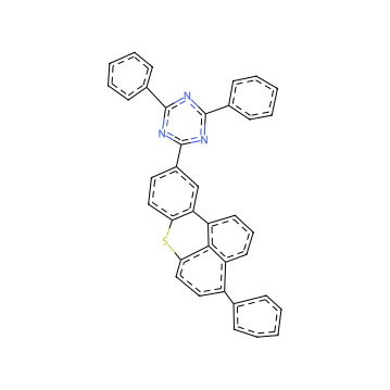 c1ccc(-c2nc(-c3ccccc3)nc(-c3ccc4c(c3)-c3cccc5c(-c6ccccc6)ccc(c35)S4)n2)cc1